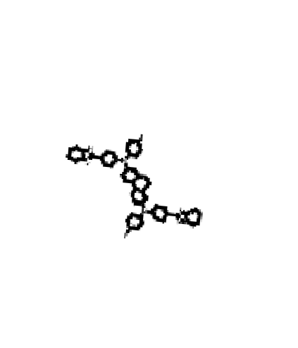 Fc1ccc(N(c2ccc(-c3nc4ccccc4s3)cc2)c2ccc3c(ccc4cc(N(c5ccc(F)cc5)c5ccc(-c6nc7ccccc7s6)cc5)ccc43)c2)cc1